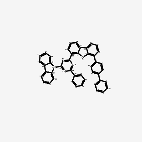 c1ccc(-c2ccc(-c3cccc4c3oc3c(-c5nc(-c6ccccc6)nc(-n6c7ccccc7c7ccccc76)n5)cccc34)cc2)cc1